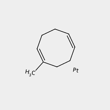 CC1=CCCC=CCC1.[Pt]